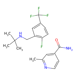 CC(C)(C)NCc1cc(C(F)(F)F)ccc1F.Cc1cc(C(N)=O)ccn1